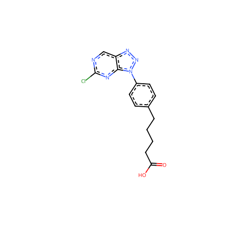 O=C(O)CCCCc1ccc(-n2nnc3cnc(Cl)nc32)cc1